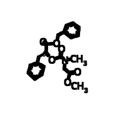 COC(=O)CN(C)C(=O)O[C@@H](Cc1ccccc1)C(=O)OCc1ccccc1